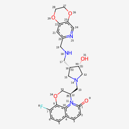 O=c1ccc2ccc(F)c3c2n1[C@H](CN1C[C@H](CNCc2cc4c(cn2)OCCO4)[C@H](O)C1)CO3